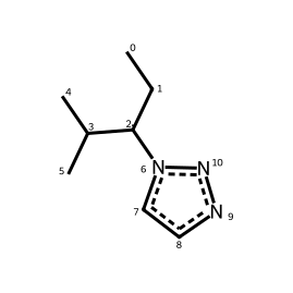 CC[C](C(C)C)n1ccnn1